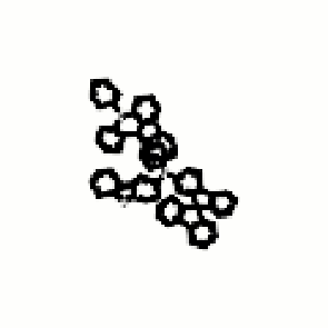 c1ccc(N2c3ccccc3C3(c4ccccc4)c4cc(N(c5ccc6c(c5)C5(c7ccccc7-c7ccccc75)c5ccccc5-6)c5ccc6sc7ccccc7c6c5)ccc4-c4cccc2c43)cc1